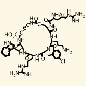 CC(=O)N[C@@H](CCCNC(=N)N)C(=O)N[C@H]1CCC(=O)NCCC[C@@H](C(=O)O)NC(=O)[C@H](Cc2c[nH]c3ccccc23)NC(=O)[C@H](CCCNC(=N)N)NC(=O)[C@@H](Cc2cccc(Cl)c2)NC(=O)[C@H](CCCN)NC1=O